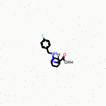 COC(=O)[C@@H]1C2CCC(CC2)N1NCc1ccc(F)cc1